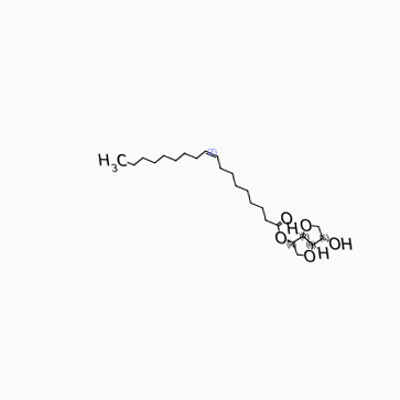 CCCCCCCC/C=C\CCCCCCCC(=O)O[C@@H]1CO[C@H]2[C@@H]1OC[C@@H]2O